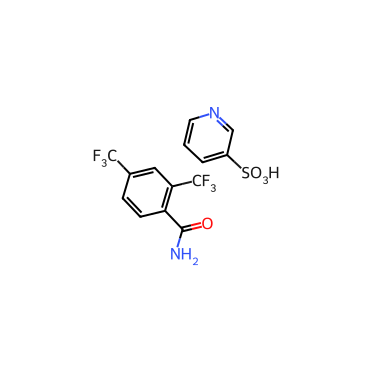 NC(=O)c1ccc(C(F)(F)F)cc1C(F)(F)F.O=S(=O)(O)c1cccnc1